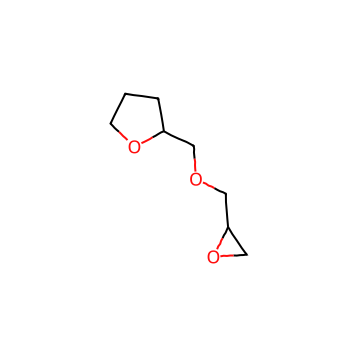 C1COC(COCC2CO2)C1